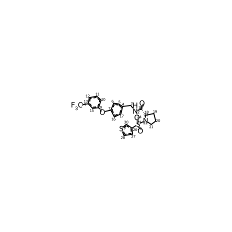 O=C(NCc1ccc(Oc2cccc(C(F)(F)F)c2)cc1)[C@@H]1CCCN1S(=O)(=O)c1ccsc1